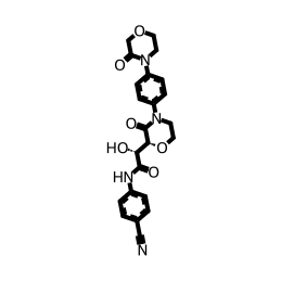 N#Cc1ccc(NC(=O)[C@H](O)[C@H]2OCCN(c3ccc(N4CCOCC4=O)cc3)C2=O)cc1